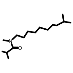 CC(C)CCCCCCCCN(C)C(=O)C(C)C